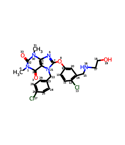 Cn1c(=O)c2c(nc(Oc3ccc(Cl)c(CNCCO)c3)n2Cc2ccc(Cl)cc2)n(C)c1=O